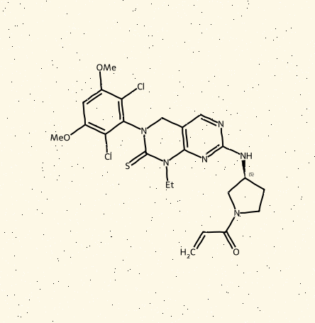 C=CC(=O)N1CC[C@H](Nc2ncc3c(n2)N(CC)C(=S)N(c2c(Cl)c(OC)cc(OC)c2Cl)C3)C1